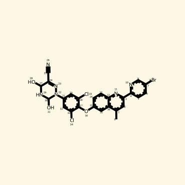 Cc1cc(-c2ccc(Br)cn2)nc2ccc(Oc3c(Cl)cc(N4N=C(C#N)C(O)NC4O)cc3Cl)cc12